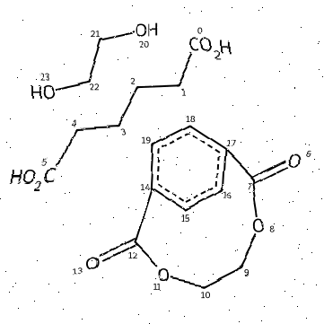 O=C(O)CCCCC(=O)O.O=C1OCCOC(=O)c2ccc1cc2.OCCO